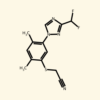 Cc1cc(C)c(-n2cnc(C(F)F)n2)cc1SCC#N